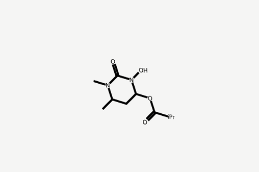 CC(C)C(=O)OC1CC(C)N(C)C(=O)N1O